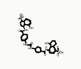 O=C(Nc1ccc(C(=O)Nc2ccc(S(=O)(=O)O)c3cccc(O)c23)cc1)Nc1ccc(C(=O)Nc2ccc(S(=O)(=O)O)c3cccc(O)c23)cc1